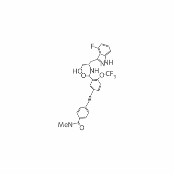 CNC(=O)c1ccc(C#Cc2ccc(OC(F)(F)F)c(C(=O)N[C@@H](CO)Cc3n[nH]c4cccc(F)c34)c2)cc1